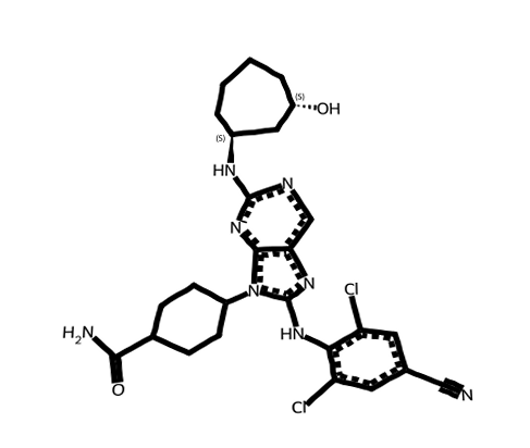 N#Cc1cc(Cl)c(Nc2nc3cnc(N[C@H]4CCCC[C@H](O)C4)nc3n2C2CCC(C(N)=O)CC2)c(Cl)c1